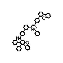 c1ccc(-c2nc(-c3ccc(-c4cccc5c4oc4ccccc45)cc3)cc(-c3cccc(-c4ccc(-c5nc6ccccc6c6c(-c7ccccc7)c7c(cc56)oc5ccccc57)cc4)c3)n2)cc1